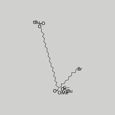 COC(=O)C(CCCCCCCCCCCCCCCCCCCCCCCCOC(=O)C(C)(C)C)[C@@H](CCCCCCCCCBr)O[Si](C)(C)C(C)(C)C